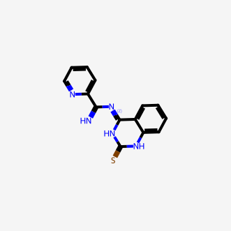 N=C(/N=c1\[nH]c(=S)[nH]c2ccccc12)c1ccccn1